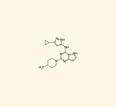 CC1CCN(c2nc(Nc3cc(C4CC4)n[nH]3)c3[nH]ccc3n2)CC1